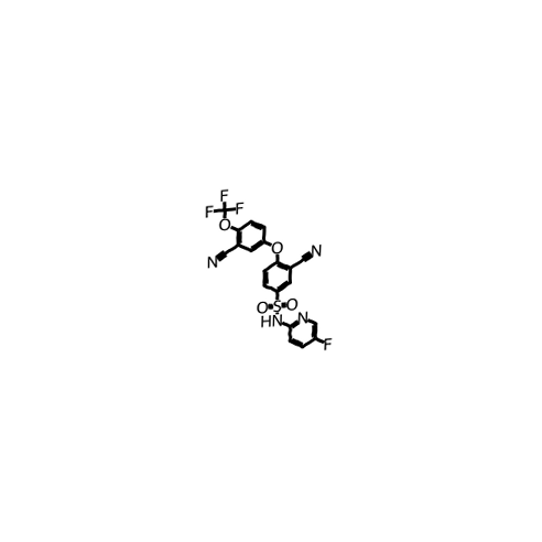 N#Cc1cc(S(=O)(=O)Nc2ccc(F)cn2)ccc1Oc1ccc(OC(F)(F)F)c(C#N)c1